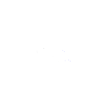 BC1(C)CCC2C(C1)S/C(=N/C)N2C